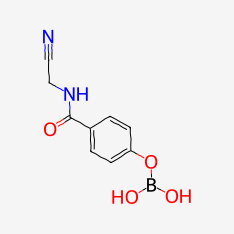 N#CCNC(=O)c1ccc(OB(O)O)cc1